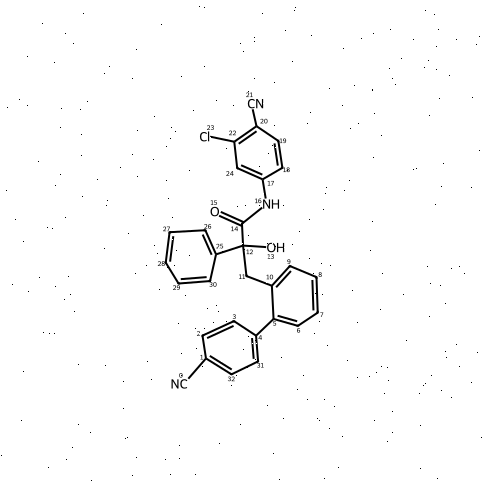 N#Cc1ccc(-c2ccccc2CC(O)(C(=O)Nc2ccc(C#N)c(Cl)c2)c2ccccc2)cc1